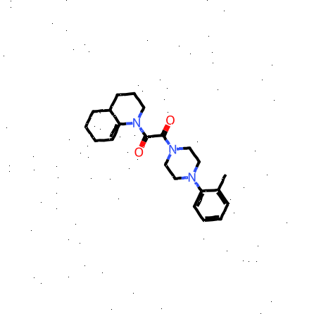 Cc1ccccc1N1CCN(C(=O)C(=O)N2CCCC3CCCC=C32)CC1